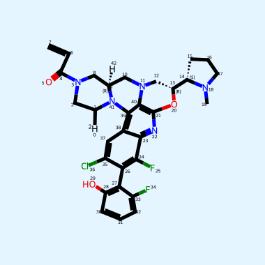 [2H]C1CN(C(=O)C=C)C[C@H]2CN3C[C@H]([C@@H]4CCCN4C)Oc4nc5c(F)c(-c6c(O)cccc6F)c(Cl)cc5c(c43)N12